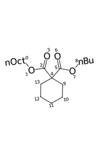 CCCCCCCCOC(=O)C1(C(=O)OCCCC)CCCCC1